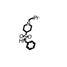 C[C](C)CN1CCC(S(=O)(=O)Nc2ccccc2)CC1